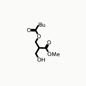 CCC(C)C(=O)OCC(CO)C(=O)OC